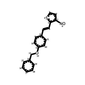 O=Nc1ccsc1/C=C/c1ccc(OCc2ccccc2)cc1